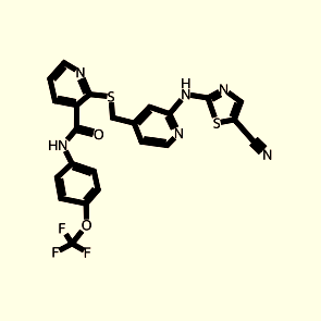 N#Cc1cnc(Nc2cc(CSc3ncccc3C(=O)Nc3ccc(OC(F)(F)F)cc3)ccn2)s1